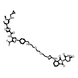 C=N/C(=C\C(=C/C)c1nc(C(=O)Nc2cn(-c3ccc(CNCCOCCOCCN4CC(Nc5cccc6c5C(=O)N(C5CCC(=O)NC5=O)C6=O)C4)cc3)nc2C(F)F)co1)NCC1CC1